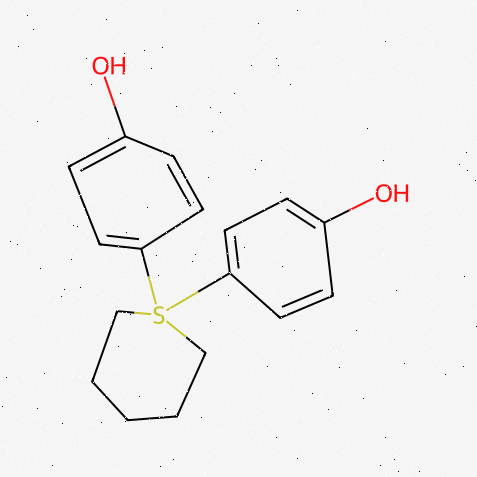 Oc1ccc(S2(c3ccc(O)cc3)CCCCC2)cc1